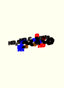 CO[C@@]1(NC(=O)C(O)c2ccccc2)C(=O)N2C(C(=O)O)=C(C(CCNS(=O)(=O)O)Sc3nnn[nH]3)CS[C@H]21